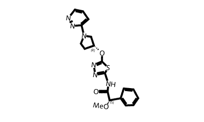 CO[C@H](C(=O)Nc1nnc(O[C@@H]2CCN(c3cccnn3)C2)s1)c1ccccc1